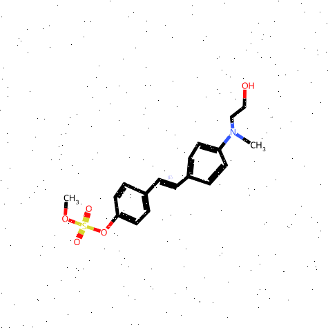 COS(=O)(=O)Oc1ccc(/C=C/c2ccc(N(C)CCO)cc2)cc1